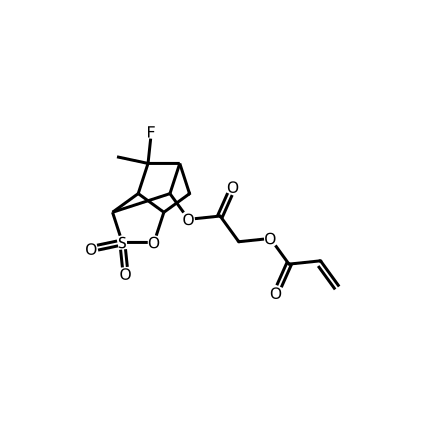 C=CC(=O)OCC(=O)OC1C2CC3OS(=O)(=O)C1C3C2(C)F